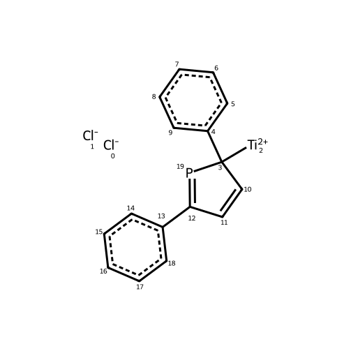 [Cl-].[Cl-].[Ti+2][C]1(c2ccccc2)C=CC(c2ccccc2)=P1